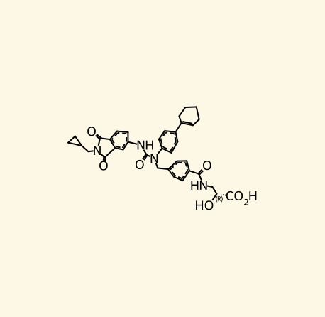 O=C(NC[C@@H](O)C(=O)O)c1ccc(CN(C(=O)Nc2ccc3c(c2)C(=O)N(CC2CC2)C3=O)c2ccc(C3=CCCCC3)cc2)cc1